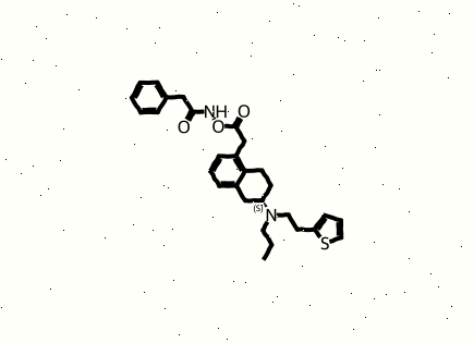 CCCN(CCc1cccs1)[C@H]1CCc2c(CC(=O)ONC(=O)Cc3ccccc3)cccc2C1